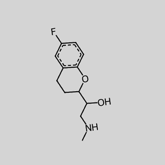 CNCC(O)C1CCc2cc(F)ccc2O1